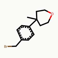 CC1(c2ccc(CBr)cc2)CCOCC1